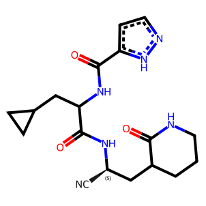 N#C[C@H](CC1CCCNC1=O)NC(=O)C(CC1CC1)NC(=O)c1ccn[nH]1